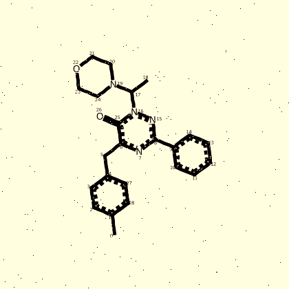 Cc1ccc(Cc2nc(-c3ccccc3)nn(C(C)N3CCOCC3)c2=O)cc1